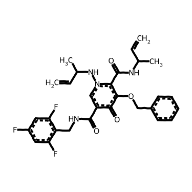 C=CC(C)NC(=O)c1c(OCc2ccccc2)c(=O)c(C(=O)NCc2c(F)cc(F)cc2F)cn1NC(C)C=C